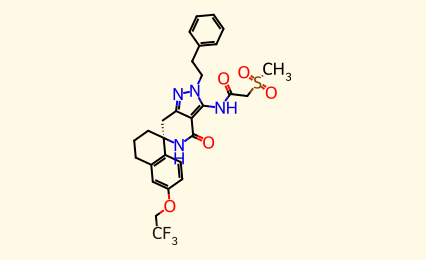 CS(=O)(=O)CC(=O)Nc1c2c(nn1CCc1ccccc1)C[C@]1(CCCc3cc(OCC(F)(F)F)ccc31)NC2=O